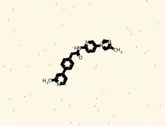 Cc1cc(-c2ccc(CC(=O)Nc3ccc(-n4cnc(C)c4)cn3)cc2)ccn1